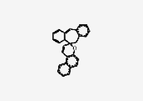 C1=CC2=Cc3ccccc3CC3(C=Cc4c(ccc5ccccc45)O3)C2C=C1